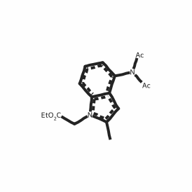 CCOC(=O)Cn1c(C)cc2c(N(C(C)=O)C(C)=O)cccc21